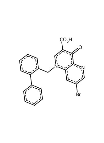 O=C(O)c1cn(Cc2ccccc2-c2ccccc2)c2cc(Br)cnc2c1=O